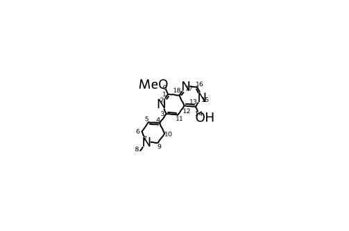 COc1nc(C2=CCN(C)CC2)cc2c(O)ncnc12